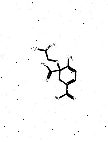 CC1=CC=C(C(=O)O)CC1(OCC(C)C)C(=O)O